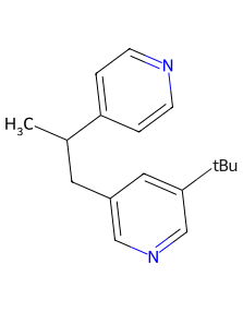 CC(Cc1cncc(C(C)(C)C)c1)c1ccncc1